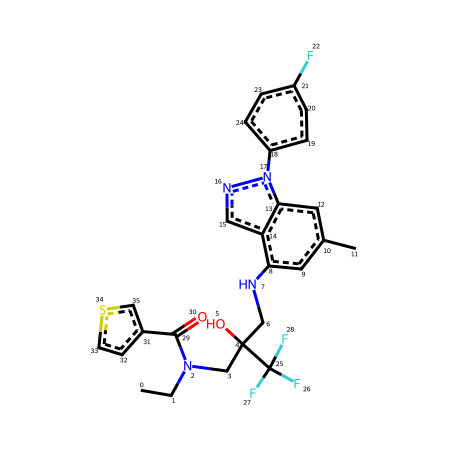 CCN(CC(O)(CNc1cc(C)cc2c1cnn2-c1ccc(F)cc1)C(F)(F)F)C(=O)c1ccsc1